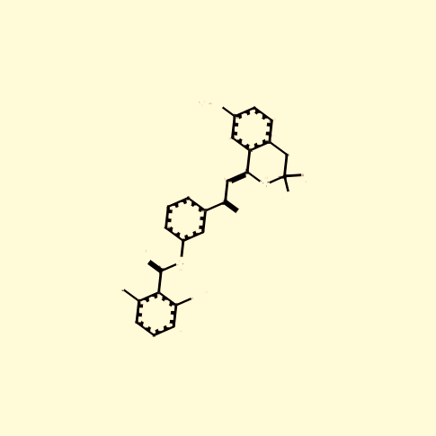 COc1ccc2c(c1)/C(=C/C(=O)c1cccc(NC(=O)c3c(Cl)cccc3Cl)c1)NC(C)(C)C2